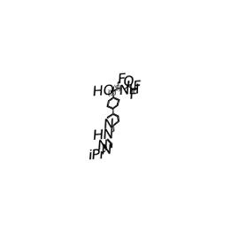 CC(C)n1ccc(NCc2ccc(-c3ccc([C@H](O)[C@@H](CF)NC(=O)C(F)F)cc3)cn2)n1